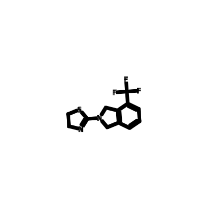 FC(F)(F)c1cccc2c1CN(C1=NCCS1)C2